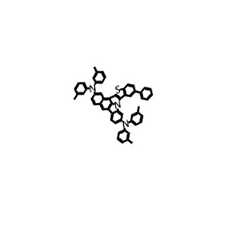 Cc1cccc(N(c2cccc(C)c2)c2ccc3cc4c5ccc(N(c6cccc(C)c6)c6cccc(C)c6)cc5n5c6c7cc(-c8ccccc8)ccc7sc6c(c3c2)c45)c1